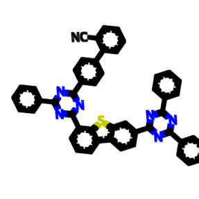 N#Cc1ccccc1-c1ccc(-c2nc(-c3ccccc3)nc(-c3cccc4c3sc3cc(-c5nc(-c6ccccc6)nc(-c6ccccc6)n5)ccc34)n2)cc1